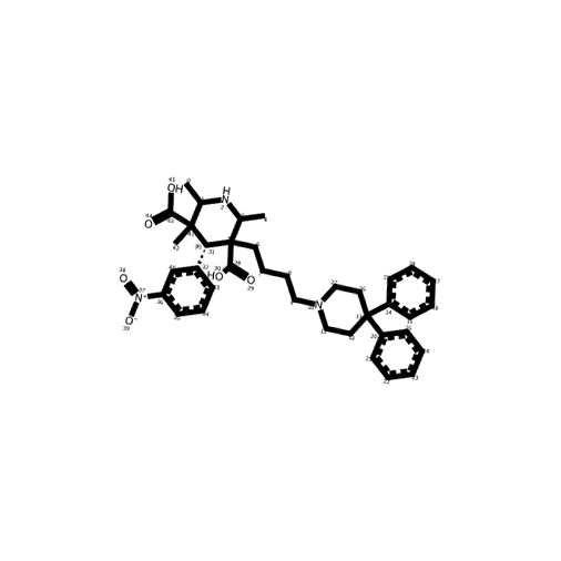 CC1NC(C)C(CCCCN2CCC(c3ccccc3)(c3ccccc3)CC2)(C(=O)O)[C@H](c2cccc([N+](=O)[O-])c2)C1(C)C(=O)O